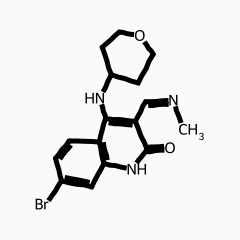 C/N=C\c1c(NC2CCOCC2)c2ccc(Br)cc2[nH]c1=O